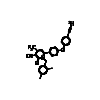 [3H]C#Cc1ccc(Oc2ccc(-c3cc(C(F)(F)F)c([N+]#[C-])c(=O)n3Cc3ccc(C)cc3C)cc2)cc1